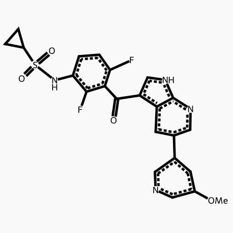 COc1cncc(-c2cnc3[nH]cc(C(=O)c4c(F)ccc(NS(=O)(=O)C5CC5)c4F)c3c2)c1